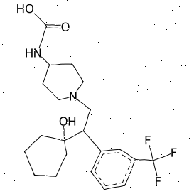 O=C(O)NC1CCN(CC(c2cccc(C(F)(F)F)c2)C2(O)CCCCC2)CC1